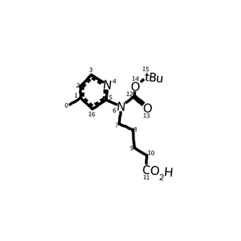 Cc1ccnc(N(CCCCC(=O)O)C(=O)OC(C)(C)C)c1